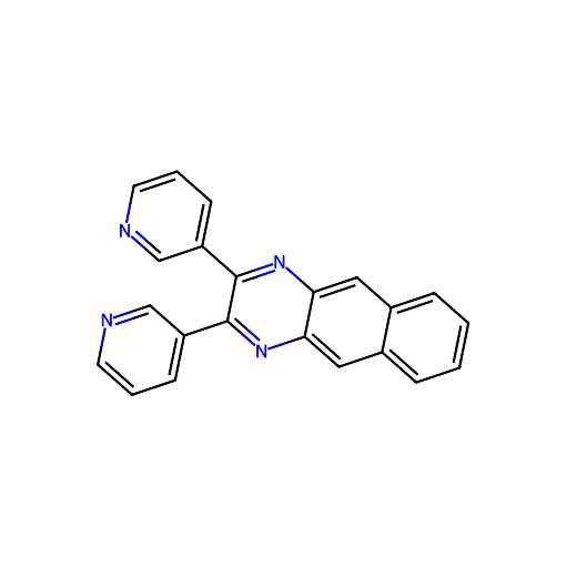 c1cncc(-c2nc3cc4ccccc4cc3nc2-c2cccnc2)c1